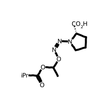 CC(O/N=N\N1CCC[C@H]1C(=O)O)OC(=O)C(C)C